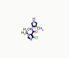 C[C@H]1CNC[C@H]1N(C)C(=O)c1c(Cl)ncn1C